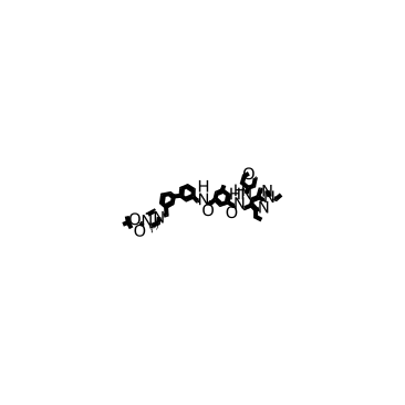 CCc1nc2c(cnn2CC)c(NC2CCOCC2)c1CNC(=O)c1cc(C)cc(C(=O)NCc2cccc(-c3cccc(CN4CCN(C(=O)OC(C)(C)C)[C@@H](C)C4)c3)c2)c1